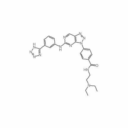 CCN(CC)CCNC(=O)c1ccc(-n2nnc3cnc(Nc4cccc(-c5nnn[nH]5)c4)nc32)cc1